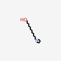 OCCCCCCCCCCCCN1CCCC1